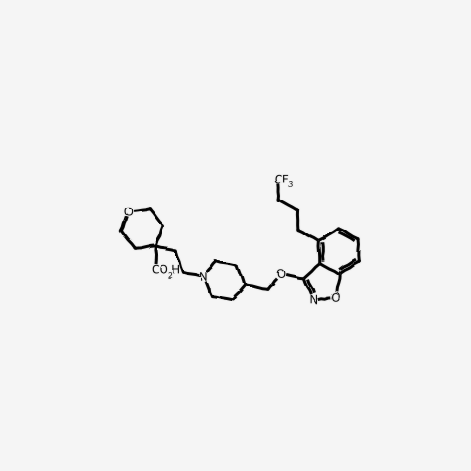 O=C(O)C1(CCN2CCC(COc3noc4cccc(CCCC(F)(F)F)c34)CC2)CCOCC1